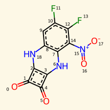 O=c1c2c(c1=O)Nc1c(cc(F)c(F)c1[N+](=O)[O-])N2